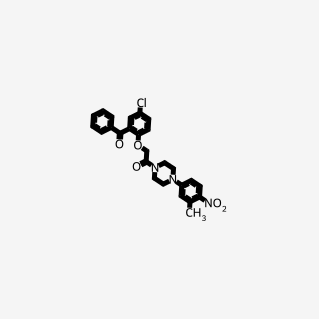 Cc1cc(N2CCN(C(=O)COc3ccc(Cl)cc3C(=O)c3ccccc3)CC2)ccc1[N+](=O)[O-]